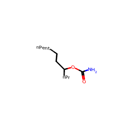 CCCCCCCC(CCC)OC(N)=O